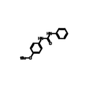 CC(C)(C)Oc1ccc(NC(=O)Nc2ccccc2)cc1